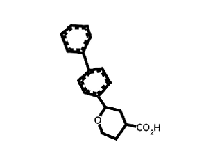 O=C(O)C1CCOC(c2ccc(-c3ccccc3)cc2)C1